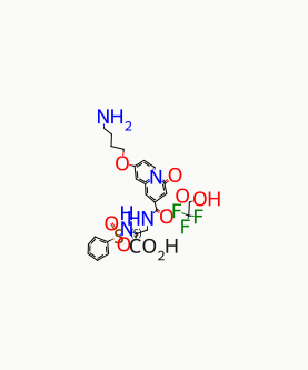 NCCCCOc1ccn2c(=O)cc(C(=O)NC[C@H](NS(=O)(=O)c3ccccc3)C(=O)O)cc2c1.O=C(O)C(F)(F)F